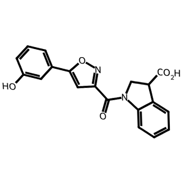 O=C(O)C1CN(C(=O)c2cc(-c3cccc(O)c3)on2)c2ccccc21